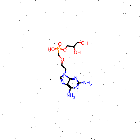 Nc1nc(N)c2ncn(CCOCP(=O)(O)OCC(O)CO)c2n1